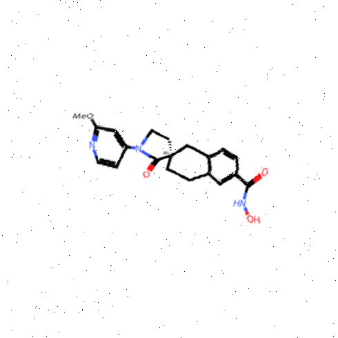 COc1cc(N2CC[C@]3(CCC4C=C(C(=O)NO)C=CC4C3)C2=O)ccn1